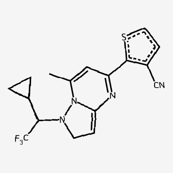 CC1=CC(c2sccc2C#N)=NC2=CCN(C(C3CC3)C(F)(F)F)N12